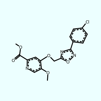 COC(=O)c1cc(OCc2nc(-c3ccc(Cl)cc3)no2)c(OC)cn1